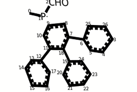 C[P]C=O.c1ccc(-c2cccc(-c3ccccc3)c2-c2ccccc2)cc1